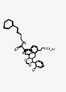 O=C(O)CCc1ccccc1CC1C(c2nc(C(=O)NCCCCC3CCCCC3)co2)OCOC1c1ccccc1Cl